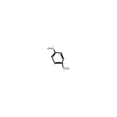 CC[CH]CCc1ccc(C(=O)OCC)cc1